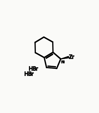 Br.Br.[Zr][C@H]1C=CC2=C1CCCC2